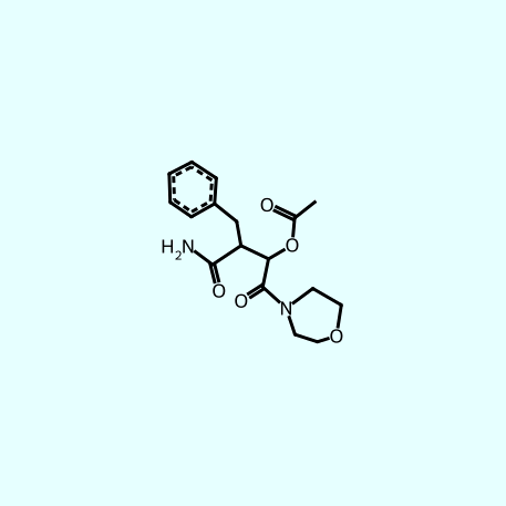 CC(=O)OC(C(=O)N1CCOCC1)C(Cc1ccccc1)C(N)=O